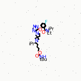 CCN(C(=O)c1cc(F)ccc1Oc1nncnc1N1CCC2(C1)CN(C(CCCCOC(=O)NC(C)(C)C)C(C)C)C2)C(C)C